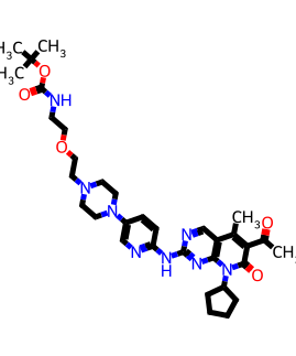 CC(=O)c1c(C)c2cnc(Nc3ccc(N4CCN(CCOCCNC(=O)OC(C)(C)C)CC4)cn3)nc2n(C2CCCC2)c1=O